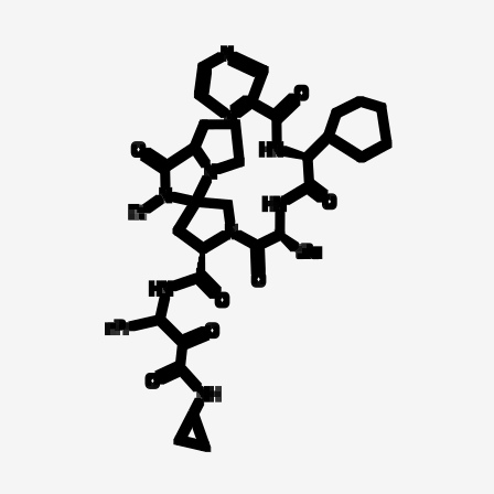 CCCC(NC(=O)[C@@H]1CC2(CN1C(=O)[C@@H](NC(=O)[C@@H](NC(=O)c1cnccn1)C1CCCCC1)C(C)(C)C)N(CC)C(=O)C1CCCN12)C(=O)C(=O)NC1CC1